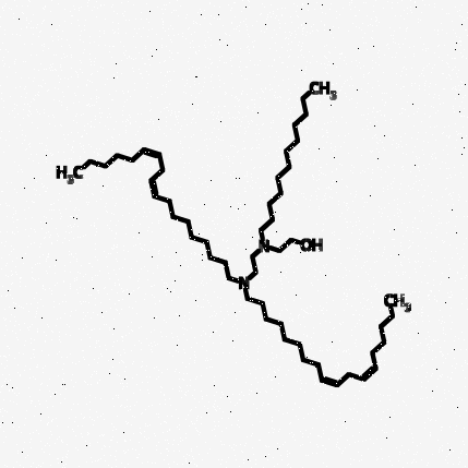 CCCCC/C=C\C/C=C\CCCCCCCCN(CCCCCCCC/C=C\C/C=C\CCCCC)CCN(CCO)CCCCCCCCCCCC